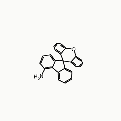 Nc1cccc2c1-c1ccccc1C21c2ccccc2Oc2ccccc21